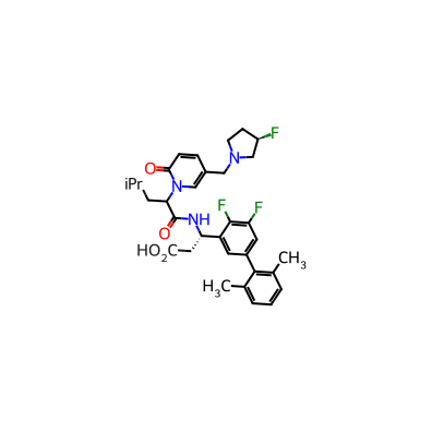 Cc1cccc(C)c1-c1cc(F)c(F)c([C@H](CC(=O)O)NC(=O)C(CC(C)C)n2cc(CN3CC[C@@H](F)C3)ccc2=O)c1